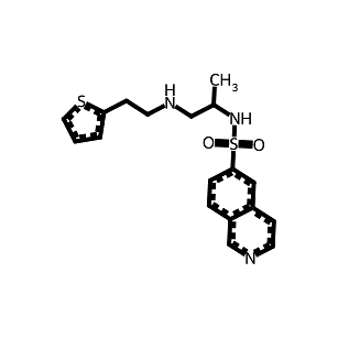 CC(CNCCc1cccs1)NS(=O)(=O)c1ccc2cnccc2c1